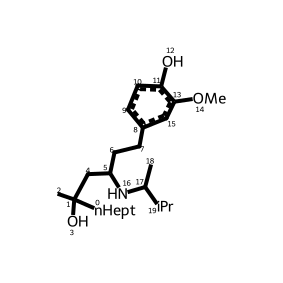 CCCCCCCC(C)(O)CC(CCc1ccc(O)c(OC)c1)NC(C)C(C)C